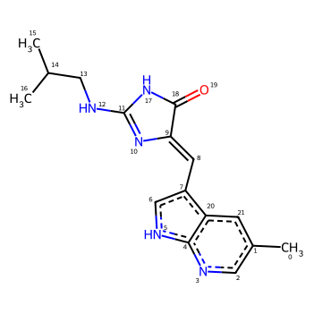 Cc1cnc2[nH]cc(C=C3N=C(NCC(C)C)NC3=O)c2c1